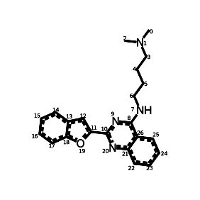 CN(C)CCCCNc1nc(-c2cc3ccccc3o2)nc2ccccc12